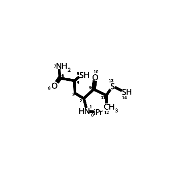 CC(C)NC(CC(S)C(N)=O)C(=O)C(C)SS